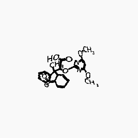 COc1cc(OC)nc(OC(C(=O)O)C(C)(c2ccccc2)C2C=CC=CC2=S(=O)=O)n1